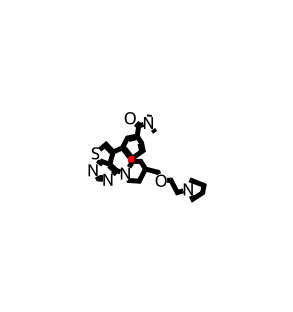 CN(C)C(=O)c1cccc(-c2csc3ncnc(N4CCC(COCCN5CCCC5)CC4)c23)c1